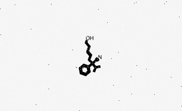 CC(C)C(C#N)(CC=CCCO)c1ccccc1